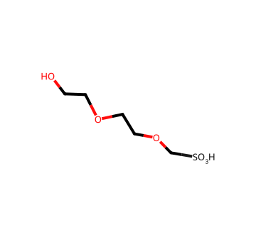 O=S(=O)(O)COCCOCCO